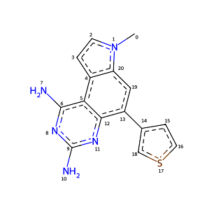 Cn1ccc2c3c(N)nc(N)nc3c(-c3ccsc3)cc21